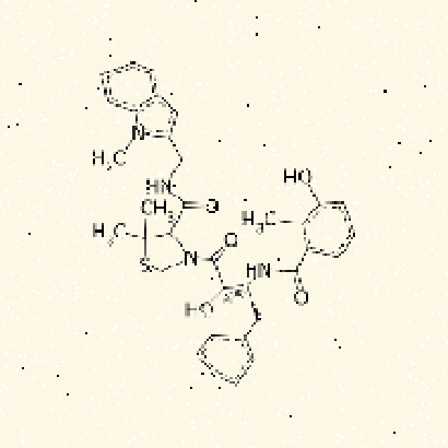 Cc1c(O)cccc1C(=O)N[C@@H](Cc1ccccc1)[C@H](O)C(=O)N1CSC(C)(C)C1C(=O)NCc1cc2ccccc2n1C